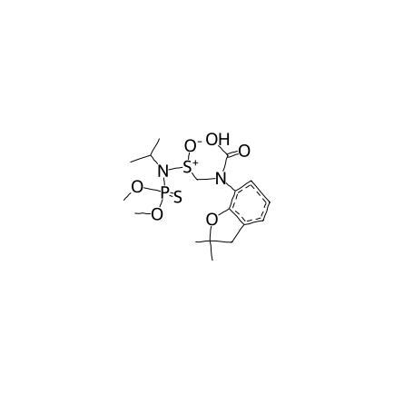 COP(=S)(OC)N(C(C)C)[S+]([O-])CN(C(=O)O)c1cccc2c1OC(C)(C)C2